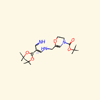 CC(C)(C)OC(=O)N1C=C(CN/C=C(\C=N)B2OC(C)(C)C(C)(C)O2)OCC1